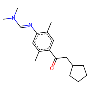 Cc1cc(C(=O)CC2CCCC2)c(C)cc1/N=C/N(C)C